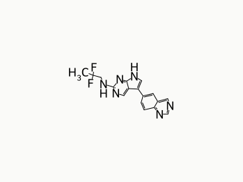 CC(F)(F)CNc1ncc2c(-c3ccc4ncncc4c3)c[nH]c2n1